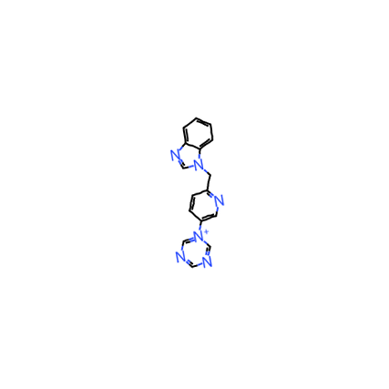 c1ccc2c(c1)ncn2Cc1ccc(-[n+]2cncnc2)cn1